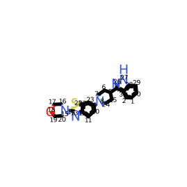 c1ccc2c(C3CCN(c4ccc5nc(N6CCOCC6)sc5c4)CC3)n[nH]c2c1